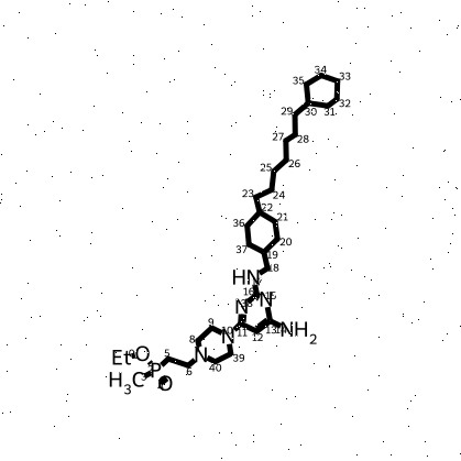 CCOP(C)(=O)CCN1CCN(c2cc(N)nc(NCC3CCC(CCCCCCCC4CCCCC4)CC3)n2)CC1